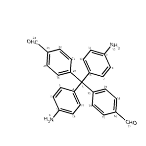 Nc1ccc(C(c2ccc(N)cc2)(c2ccc(C=O)cc2)c2ccc(C=O)cc2)cc1